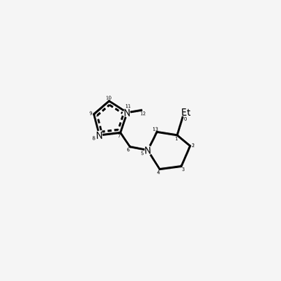 CCC1CCCN(Cc2nccn2C)C1